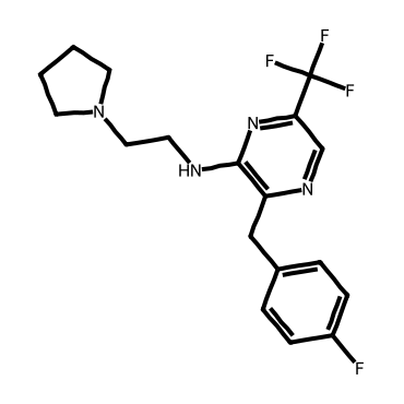 Fc1ccc(Cc2ncc(C(F)(F)F)nc2NCCN2CCCC2)cc1